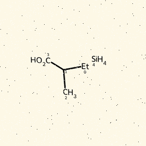 CCC(C)C(=O)O.[SiH4]